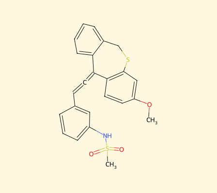 COc1ccc2c(c1)SCc1ccccc1C2=C=Cc1cccc(NS(C)(=O)=O)c1